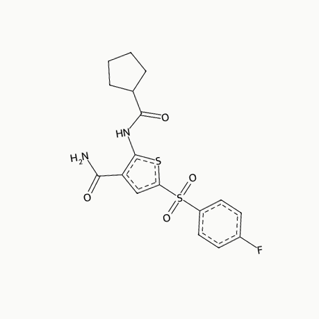 NC(=O)c1cc(S(=O)(=O)c2ccc(F)cc2)sc1NC(=O)C1CCCC1